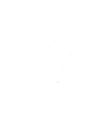 NOC(=O)CC(O)C(=O)O.[Zr]